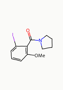 COc1cccc(I)c1C(=O)N1CCCC1